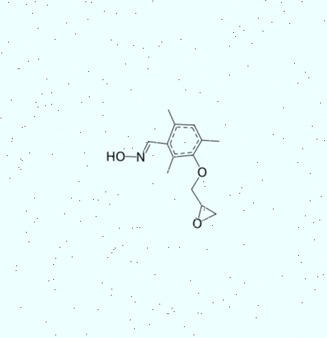 Cc1cc(C)c(OCC2CO2)c(C)c1C=NO